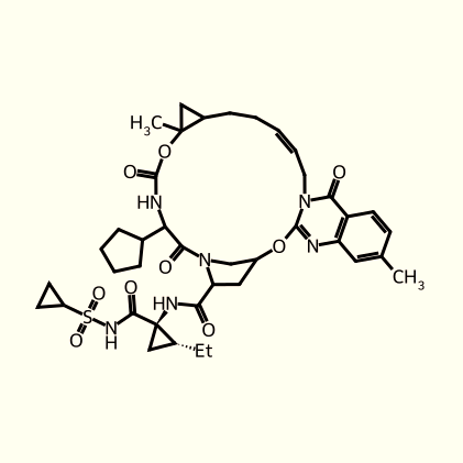 CC[C@@H]1C[C@]1(NC(=O)C1CC2CN1C(=O)C(C1CCCC1)NC(=O)OC1(C)CC1CCC=CCn1c(nc3cc(C)ccc3c1=O)O2)C(=O)NS(=O)(=O)C1CC1